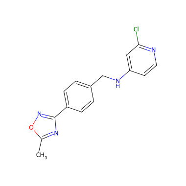 Cc1nc(-c2ccc(CNc3ccnc(Cl)c3)cc2)no1